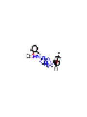 CCOc1ccccc1CNc1ncc(C#N)c(NC[C@]23CC4C[C@H](C2)[C@@H](N)[C@@H](C4)C3)n1